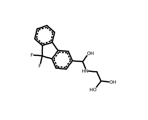 OC(O)CNC(O)c1ccc2c(c1)-c1ccccc1C2(F)F